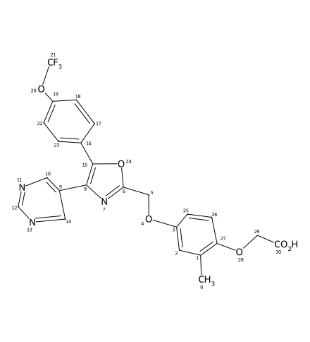 Cc1cc(OCc2nc(-c3cncnc3)c(-c3ccc(OC(F)(F)F)cc3)o2)ccc1OCC(=O)O